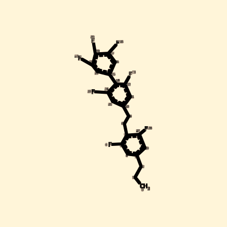 CCCc1cc(F)c(CCc2cc(F)c(-c3cc(F)c(F)c(F)c3)c(F)c2)c(F)c1